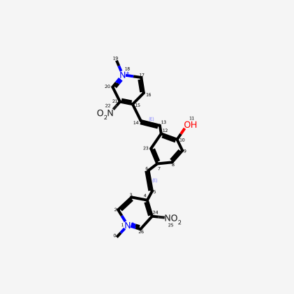 C[n+]1ccc(/C=C/c2ccc(O)c(/C=C/c3cc[n+](C)cc3[N+](=O)[O-])c2)c([N+](=O)[O-])c1